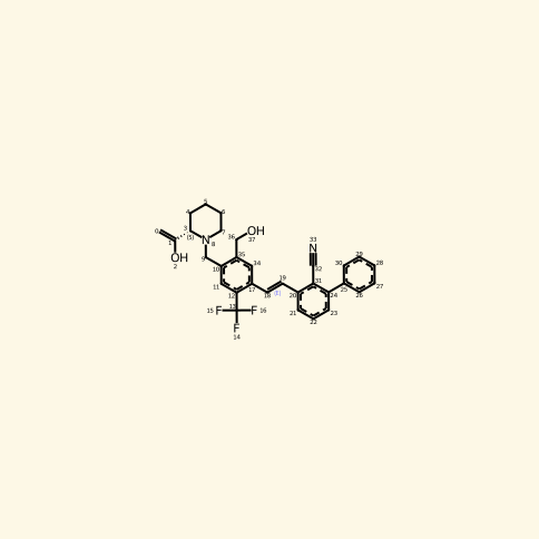 C=C(O)[C@@H]1CCCCN1Cc1cc(C(F)(F)F)c(/C=C/c2cccc(-c3ccccc3)c2C#N)cc1CO